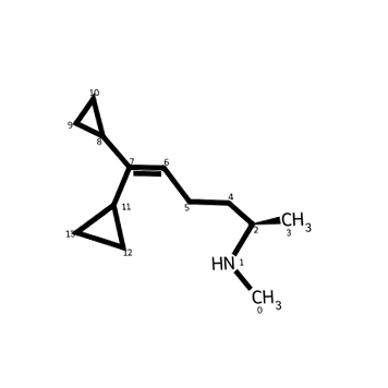 CN[C@H](C)CCC=C(C1CC1)C1CC1